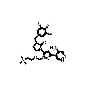 C[Si](C)(C)CCOCn1nc(-c2cnncc2N)cc1N1CCC(Cc2cc(F)c(F)c(F)c2)C1=O